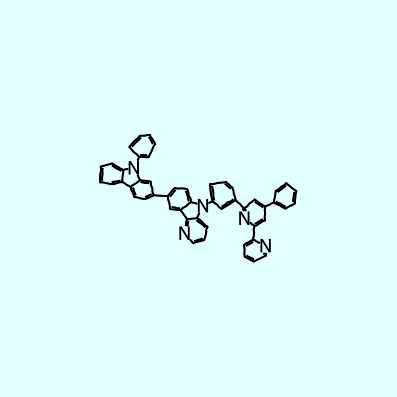 c1ccc(-c2cc(-c3cccc(-n4c5ccc(-c6ccc7c8ccccc8n(-c8ccccc8)c7c6)cc5c5ncccc54)c3)nc(-c3ccccn3)c2)cc1